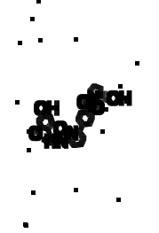 COc1cc(O)ccc1C1(C(=O)Nc2cccc(-c3ccc(S(=O)(=O)N4CCC[C@@H]4CO)cc3)n2)CC1